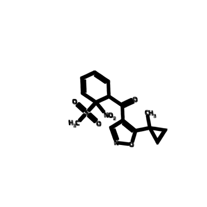 CC1(c2oncc2C(=O)C2C=CC=CC2([N+](=O)[O-])S(C)(=O)=O)CC1